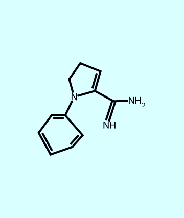 N=C(N)C1=CCCN1c1ccccc1